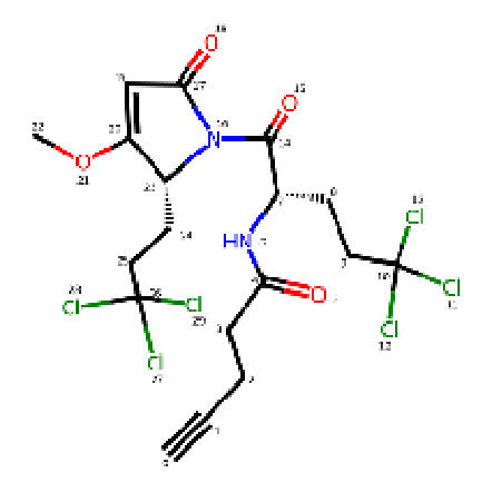 C#CCCC(=O)N[C@@H](CCC(Cl)(Cl)Cl)C(=O)N1C(=O)C=C(OC)[C@H]1CCC(Cl)(Cl)Cl